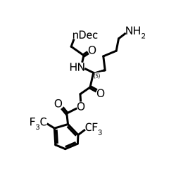 CCCCCCCCCCCC(=O)N[C@@H](CCCCN)C(=O)COC(=O)c1c(C(F)(F)F)cccc1C(F)(F)F